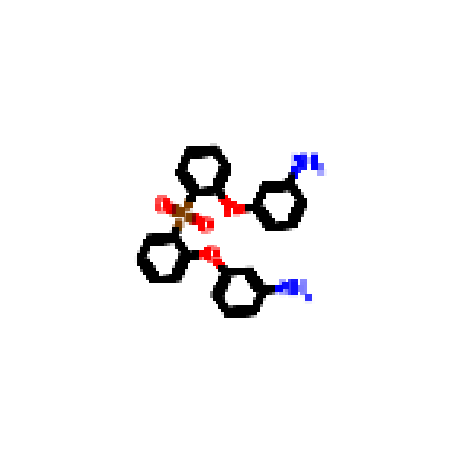 Nc1cccc(Oc2ccccc2S(=O)(=O)c2ccccc2Oc2cccc(N)c2)c1